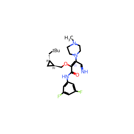 CN1CCN(/C(C=N)=C(\OC[C@H]2C[C@@H]2CC(C)(C)C)C(=O)Nc2cc(F)cc(F)c2)CC1